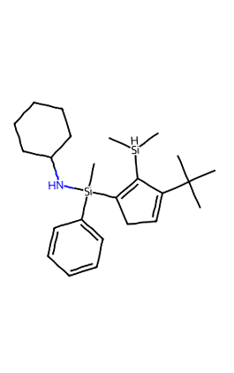 C[SiH](C)C1=C([Si](C)(NC2CCCCC2)c2ccccc2)CC=C1C(C)(C)C